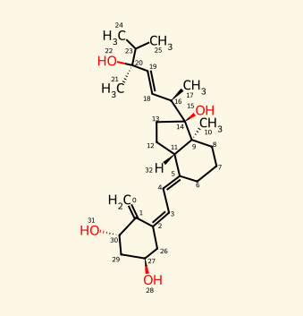 C=C1/C(=C\C=C2/CCC[C@@]3(C)[C@H]2CC[C@]3(O)[C@H](C)/C=C/[C@@](C)(O)C(C)C)C[C@@H](O)C[C@@H]1O